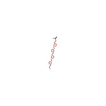 C=C(C)CCOCCOCCOCCOCCC